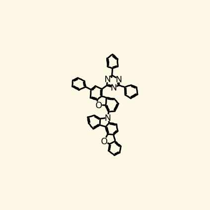 c1ccc(-c2cc(-c3nc(-c4ccccc4)nc(-c4ccccc4)n3)c3c(c2)oc2c(-n4c5ccccc5c5c6oc7ccccc7c6ccc54)cccc23)cc1